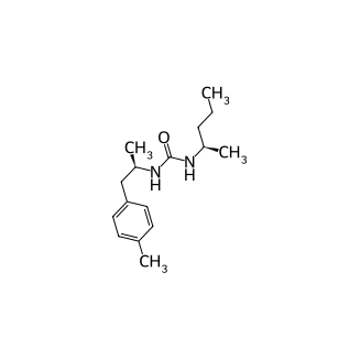 CCC[C@@H](C)NC(=O)N[C@H](C)Cc1ccc(C)cc1